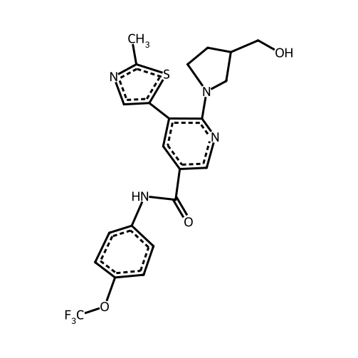 Cc1ncc(-c2cc(C(=O)Nc3ccc(OC(F)(F)F)cc3)cnc2N2CCC(CO)C2)s1